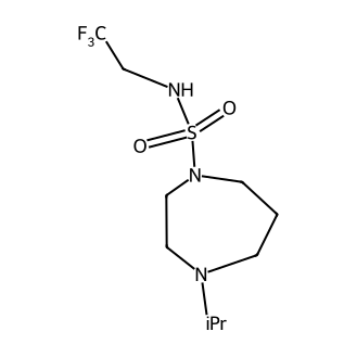 CC(C)N1CCCN(S(=O)(=O)NCC(F)(F)F)CC1